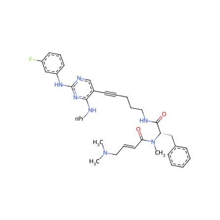 CCCNc1nc(Nc2cccc(F)c2)ncc1C#CCCCNC(=O)[C@H](Cc1ccccc1)N(C)C(=O)/C=C/CN(C)C